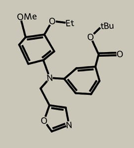 CCOc1cc(N(Cc2cnco2)c2cccc(C(=O)OC(C)(C)C)c2)ccc1OC